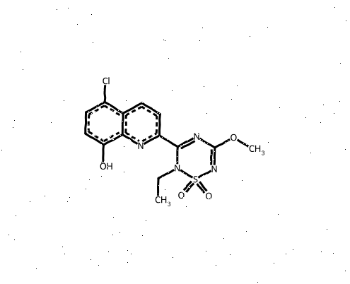 CCN1C(c2ccc3c(Cl)ccc(O)c3n2)=NC(OC)=NS1(=O)=O